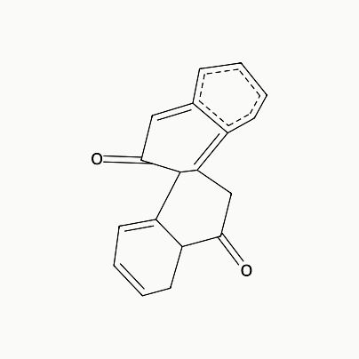 O=C1CC2=c3ccccc3=CC(=O)C2C2=CC=CCC12